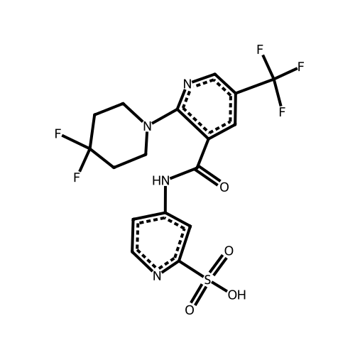 O=C(Nc1ccnc(S(=O)(=O)O)c1)c1cc(C(F)(F)F)cnc1N1CCC(F)(F)CC1